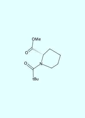 COC(=O)[C@@H]1CCCCN1C(=O)C(C)(C)C